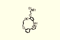 CCN(CC)CCOc1ccc2cc1COC/C=C/COc1cccc(c1)-c1ccnc(n1)N2